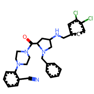 N#Cc1ccccc1N1CCN(C(=O)C2CC(NCc3ccc(Cl)c(Cl)c3)CN2Cc2ccccc2)CC1